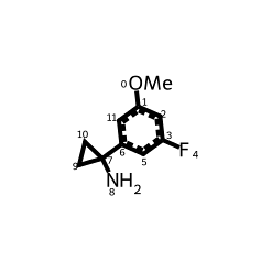 COc1cc(F)cc(C2(N)CC2)c1